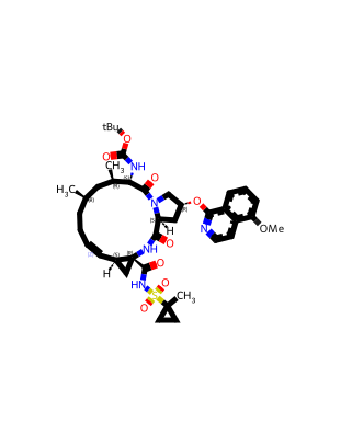 COc1cccc2c(O[C@@H]3C[C@H]4C(=O)N[C@]5(C(=O)NS(=O)(=O)C6(C)CC6)C[C@H]5/C=C\CC[C@@H](C)C[C@@H](C)[C@H](NC(=O)OC(C)(C)C)C(=O)N4C3)nccc12